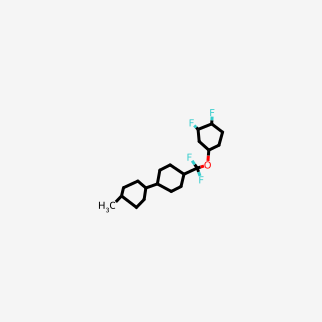 CC1CCC(C2CCC(C(F)(F)OC3CCC(F)C(F)C3)CC2)CC1